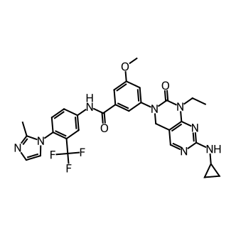 CCN1C(=O)N(c2cc(OC)cc(C(=O)Nc3ccc(-n4ccnc4C)c(C(F)(F)F)c3)c2)Cc2cnc(NC3CC3)nc21